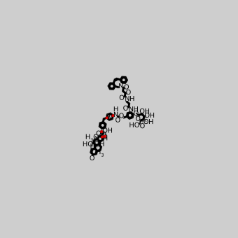 C[C@]12C=CC(=O)C=C1CC[C@@H]1[C@@H]2[C@@H](O)C[C@@]2(C)[C@H]1C[C@H]1O[C@@H](c3ccc(CC45CCC(NC(=O)OCc6ccc(O[C@@H]7O[C@H](C(=O)O)[C@@H](O)[C@H](O)[C@H]7O)c(NC(=O)CCNC(=O)C(=O)CC(=O)N7Cc8ccccc8C#Cc8ccccc87)c6)(CC4)CC5)cc3)O[C@]12C(=O)CO